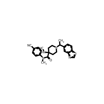 CC(c1ccc2scnc2c1)N1CCC(NC=O)(C(=O)N(C)c2ccc(C#N)cc2)CC1